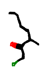 CCCCC(C)C(=O)CCl